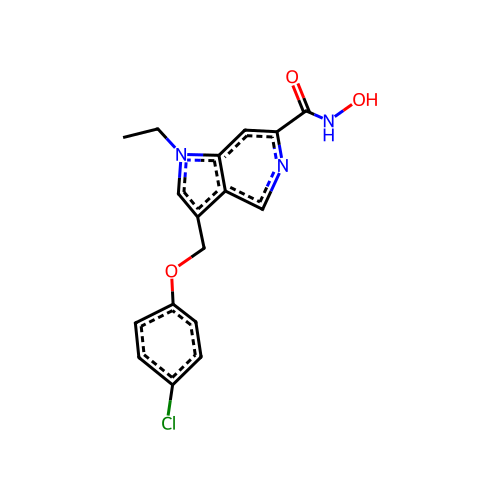 CCn1cc(COc2ccc(Cl)cc2)c2cnc(C(=O)NO)cc21